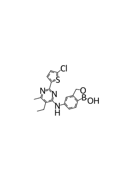 CCc1c(C)nc(-c2ccc(Cl)s2)nc1Nc1ccc2c(c1)COB2O